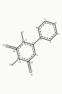 Cn1c(-c2ccccc2)cc(=O)n(C)c1=O